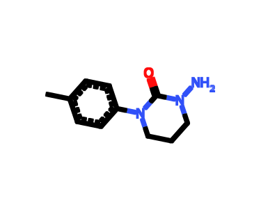 Cc1ccc(N2CCCN(N)C2=O)cc1